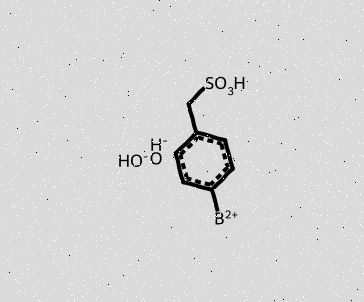 [B+2]c1ccc(CS(=O)(=O)O)cc1.[OH-].[OH-]